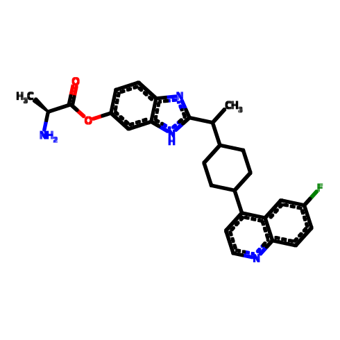 CC(c1nc2ccc(OC(=O)[C@H](C)N)cc2[nH]1)C1CCC(c2ccnc3ccc(F)cc23)CC1